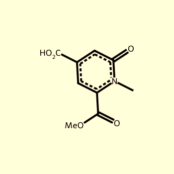 COC(=O)c1cc(C(=O)O)cc(=O)n1C